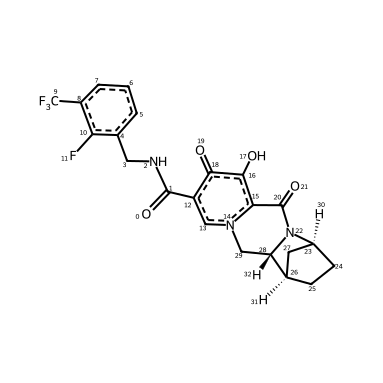 O=C(NCc1cccc(C(F)(F)F)c1F)c1cn2c(c(O)c1=O)C(=O)N1[C@H]3CC[C@H](C3)[C@@H]1C2